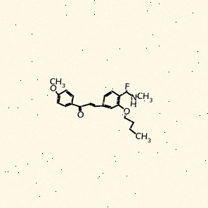 CCCCOc1cc(/C=C/C(=O)c2ccc(OC)cc2)ccc1C(F)NC